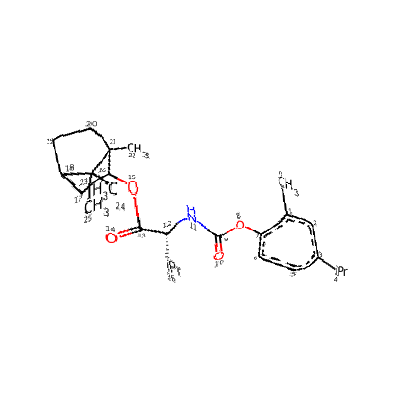 Cc1cc(C(C)C)ccc1OC(=O)N[C@@H](C(=O)OC1CC2CCC1(C)C2(C)C)C(C)C